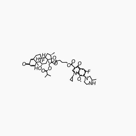 COc1c(N2CCNC(C)C2)c(F)cc2c(=O)c(C(=O)OCCCC(=O)O[C@@]3(C(=O)COC(=O)C(C)C)[C@H](C)C[C@@H]4[C@H]5CCC6=CC(=O)C=C[C@@]6(C)[C@]5(F)[C@H](O)C[C@]43C)cn(C3CC3)c12